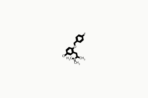 CC(Cc1cc(Cl)ccc1OCc1ccc(F)cc1)N(C)C